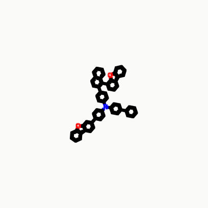 c1ccc(-c2ccc(N(c3ccc(-c4ccc5c(c4)oc4ccccc45)cc3)c3ccc(-c4ccc5ccccc5c4-c4cccc5c4oc4ccccc45)cc3)cc2)cc1